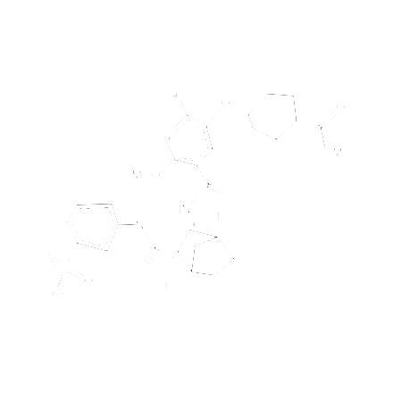 COc1cc(Br)c(O[C@H]2CC[C@@H](C(=O)OC)CC2)cc1C(=O)N[C@@H]1[C@H]2CC[C@H](C2)[C@@H]1C(=O)Nc1cccc(S(=O)(=O)C(F)(F)F)c1